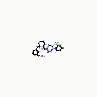 COc1cccc(CC2(O)CCCCC2CN2CCN(c3ccccc3Cl)CC2)c1